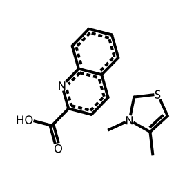 CC1=CSCN1C.O=C(O)c1ccc2ccccc2n1